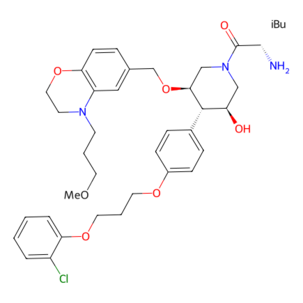 CC[C@H](C)[C@H](N)C(=O)N1C[C@@H](O)[C@H](c2ccc(OCCCOc3ccccc3Cl)cc2)[C@@H](OCc2ccc3c(c2)N(CCCOC)CCO3)C1